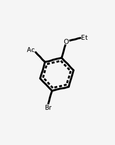 CCOc1ccc(Br)cc1C(C)=O